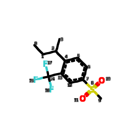 CCC(C)c1ccc(S(C)(=O)=O)cc1C(F)(F)F